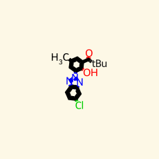 Cc1cc(C(=O)C(C)(C)C)c(O)c(-n2nc3ccc(Cl)cc3n2)c1